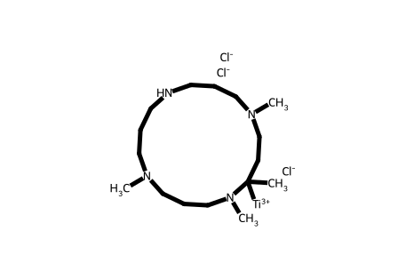 CN1CCCNCCCN(C)CC[C](C)([Ti+3])N(C)CCC1.[Cl-].[Cl-].[Cl-]